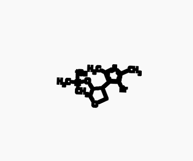 Cc1sc(C)c(C2COCC2O[Si](C)(C)C(C)(C)C)c1Br